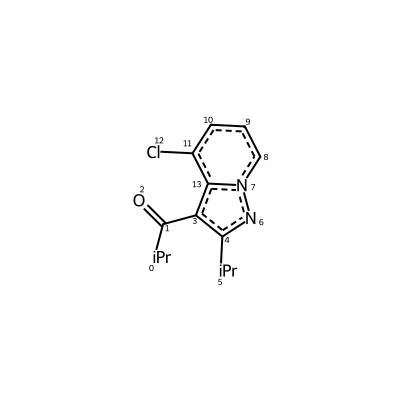 CC(C)C(=O)c1c(C(C)C)nn2cccc(Cl)c12